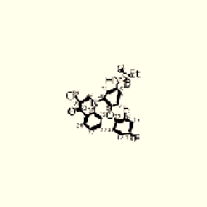 CCS(=O)(=O)Nc1ccc(Oc2ccc(F)cc2F)c(-n2cc(Cl)c(=O)c3ccccc32)c1